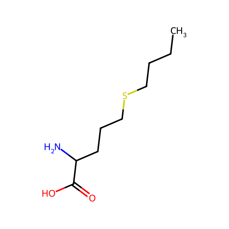 CCCCSCCCC(N)C(=O)O